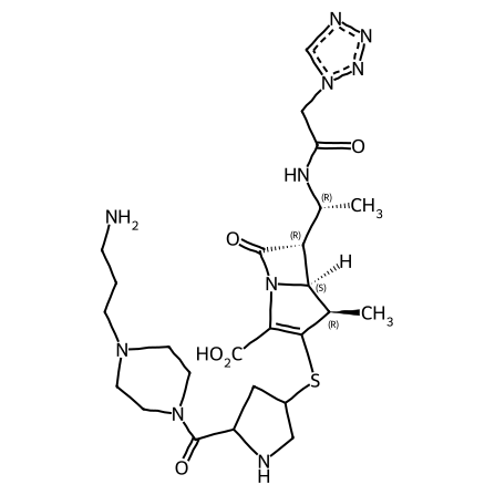 C[C@@H](NC(=O)Cn1cnnn1)[C@H]1C(=O)N2C(C(=O)O)=C(SC3CNC(C(=O)N4CCN(CCCN)CC4)C3)[C@H](C)[C@H]12